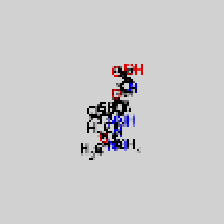 C=C(/C=C\C)CN(C)/C(=N\C=C(/C)NC(C)=O)Nc1ccc(Oc2cncc(C(=O)O)c2)cc1